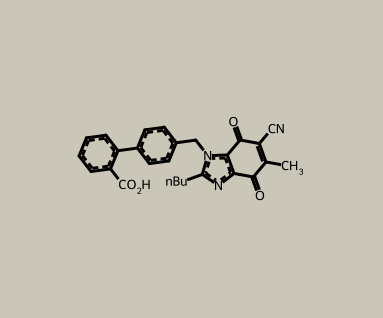 CCCCc1nc2c(n1Cc1ccc(-c3ccccc3C(=O)O)cc1)C(=O)C(C#N)=C(C)C2=O